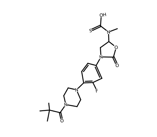 CN(C(O)=S)C1CN(c2ccc(N3CCN(C(=O)C(C)(C)C)CC3)c(F)c2)C(=O)O1